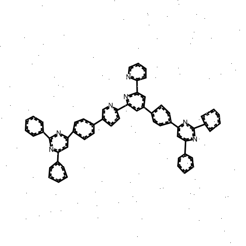 c1ccc(-c2cc(-c3ccc(-c4ccc(-c5cc(-c6ccc(-c7cc(-c8ccccc8)nc(-c8ccccc8)n7)cc6)cc(-c6ccccn6)n5)nc4)cc3)nc(-c3ccccc3)n2)cc1